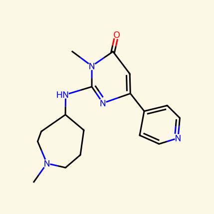 CN1CCCC(Nc2nc(-c3ccncc3)cc(=O)n2C)CC1